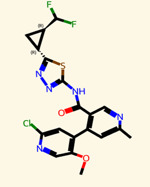 COc1cnc(Cl)cc1-c1cc(C)ncc1C(=O)Nc1nnc([C@@H]2C[C@H]2C(F)F)s1